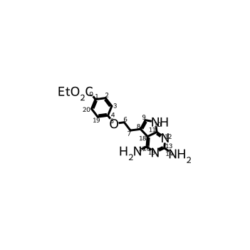 CCOC(=O)c1ccc(OCCc2c[nH]c3nc(N)nc(N)c23)cc1